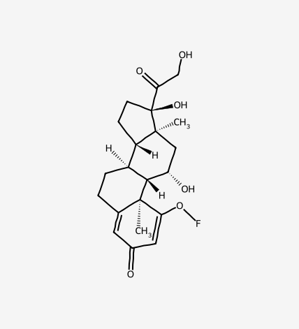 C[C@@]12C(=CC(=O)C=C1OF)CC[C@@H]1[C@@H]2[C@@H](O)C[C@@]2(C)[C@H]1CC[C@]2(O)C(=O)CO